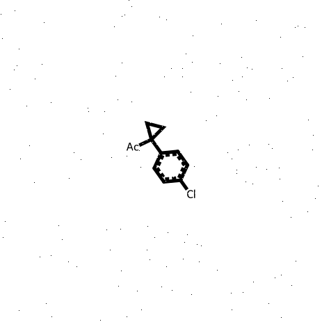 CC(=O)C1(c2ccc(Cl)cc2)CC1